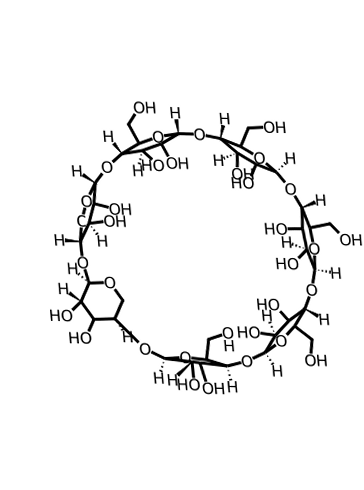 OCC1O[C@@H]2O[C@@H]3CO[C@H](O[C@@H]4CO[C@H](O[C@@H]5C(CO)O[C@H](O[C@@H]6C(CO)O[C@@H](O[C@@H]7C(CO)O[C@@H](O[C@@H]8C(CO)O[C@@H](O[C@H]1C(O)[C@@H]2O)[C@@H](O)C8O)[C@@H](O)C7O)C(O)[C@H]6O)C(O)[C@H]5O)C(O)[C@H]4O)[C@@H](O)C3O